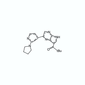 CC(C)(C)C(=O)c1c[nH]c2ncc(-c3ccnc(N4CCCC4)c3)nc12